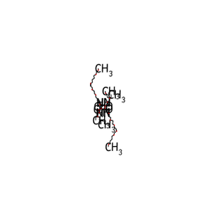 CCCCCCCC/C=C\CCCCCCCCNC(=O)c1cc(C(=O)NCC(CC)CCCC)c(C(=O)NCCCCCCCC/C=C\CCCCCCCC)cc1C(=O)NCC(CC)CCCC